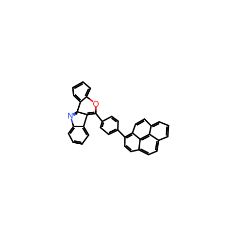 c1cc2ccc3ccc(-c4ccc(-c5oc6ccccc6c6nc7ccccc7c5-6)cc4)c4ccc(c1)c2c34